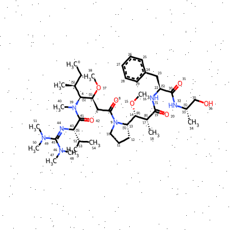 CC[C@H](C)[C@@H]([C@H](CC(=O)N1CCC[C@H]1[C@H](OC)[C@@H](C)C(=O)N[C@@H](Cc1ccccc1)C(=O)N[C@@H](C)CO)OC)N(C)C(=O)[C@@H](N=C(N(C)C)N(C)C)C(C)C